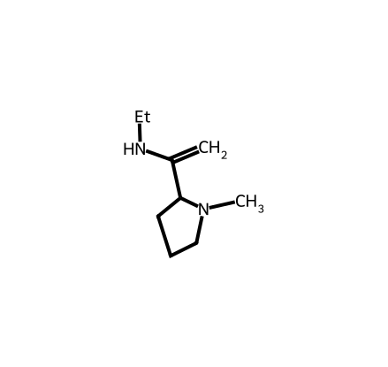 C=C(NCC)C1CCCN1C